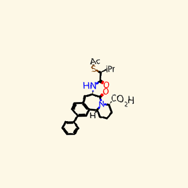 CC(=O)S[C@H](C(=O)N[C@H]1Cc2ccc(-c3ccccc3)cc2[C@H]2CCC[C@@H](C(=O)O)N2C1=O)C(C)C